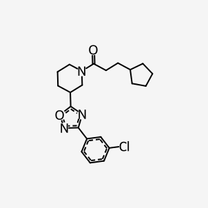 O=C(CCC1CCCC1)N1CCCC(c2nc(-c3cccc(Cl)c3)no2)C1